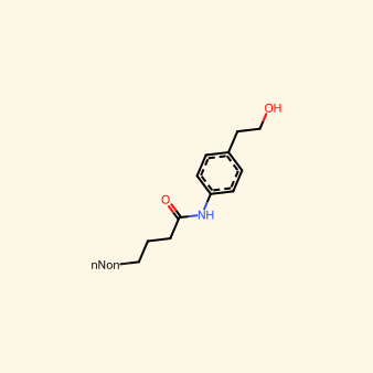 CCCCCCCCCCCCC(=O)Nc1ccc(CCO)cc1